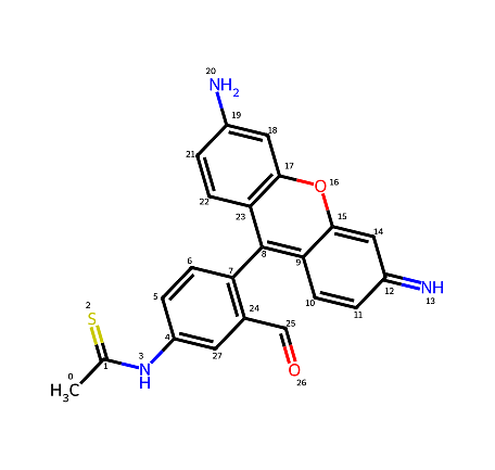 CC(=S)Nc1ccc(-c2c3ccc(=N)cc-3oc3cc(N)ccc23)c(C=O)c1